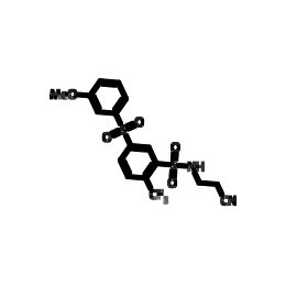 COc1cccc(S(=O)(=O)c2ccc(C(F)(F)F)c(S(=O)(=O)NCCC#N)c2)c1